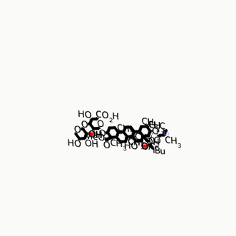 C/C=C(/C)C(=O)O[C@H]1[C@H](OC(=O)C(C)CC)C2(CO)C(CC1(C)C)C1=CCC3[C@@]4(C)CCC(OC5OC(C(=O)O)C(O)C(OC6OCC(O)C(O)C6O)C5O)[C@@](C)(C(=O)OC)C4CC[C@@]3(C)[C@]1(C)[C@@H](O)[C@H]2OC(C)=O